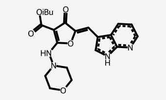 CC(C)COC(=O)C1=C(NN2CCOCC2)OC(=Cc2c[nH]c3ncccc23)C1=O